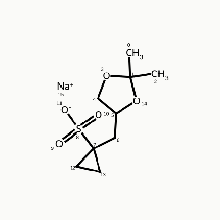 CC1(C)OCC(CC2(S(=O)(=O)[O-])CC2)O1.[Na+]